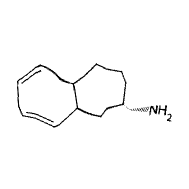 N[C@H]1CCC2C=CC=CC2C1